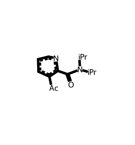 CC(=O)c1cccnc1C(=O)N(C(C)C)C(C)C